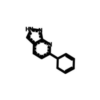 C1=CCC(c2ccc3c[nH]nc3n2)C=C1